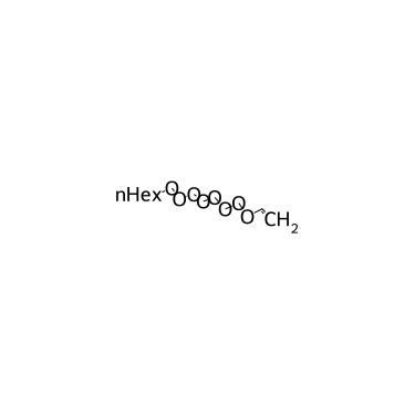 C=COOOOOOOOCCCCCC